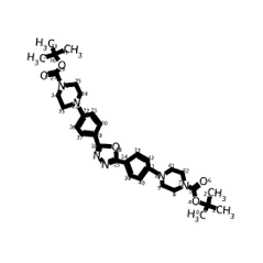 CC(C)(C)OC(=O)N1CCN(c2ccc(-c3nnc(-c4ccc(N5CCN(C(=O)OC(C)(C)C)CC5)cc4)o3)cc2)CC1